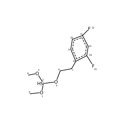 CO[SiH](OC)OCCc1ccc(F)cc1F